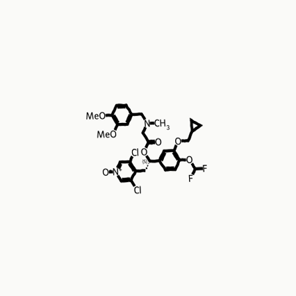 COc1ccc(CN(C)CC(=O)O[C@@H](Cc2c(Cl)c[n+]([O-])cc2Cl)c2ccc(OC(F)F)c(OCC3CC3)c2)cc1OC